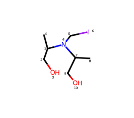 CC(CO)N(CI)C(C)CO